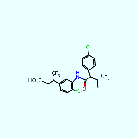 C[C@H]([C@H](C(=O)Nc1cc([C@H](CC(=O)O)C(F)(F)F)ccc1Cl)c1ccc(Cl)cc1)C(F)(F)F